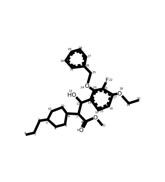 CCCC1CCC(C(C(=O)OC)C(O)c2ccc(OCC)c(F)c2OCc2ccccc2)CC1